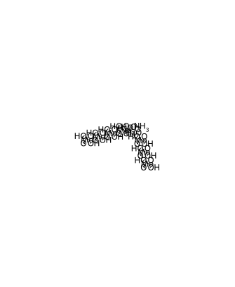 N.O.O.O.O.[O]=[Mo](=[O])([OH])[OH].[O]=[Mo](=[O])([OH])[OH].[O]=[Mo](=[O])([OH])[OH].[O]=[Mo](=[O])([OH])[OH].[O]=[Mo](=[O])([OH])[OH].[O]=[Mo](=[O])([OH])[OH].[O]=[Mo](=[O])([OH])[OH]